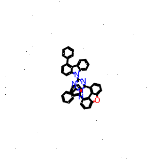 c1ccc(-c2cccc3oc4cccc(C5=NC(n6c7ccccc7c7c(-c8ccccc8)cccc76)=NC(c6ccccc6)N5)c4c23)cc1